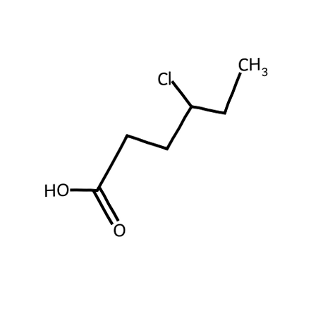 CCC(Cl)CCC(=O)O